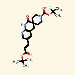 CC(C)(C)OC(=O)/C=C/c1cnc2c(c1)CC1(CCN(C(=O)OC(C)(C)C)CC1)C(=O)N2